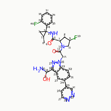 CC1CC1(NC(=O)C1CC(F)CN1C(=O)Cn1nc(C(N)O)c2cc(-c3ccnnc3)ccc21)c1ccccc1F